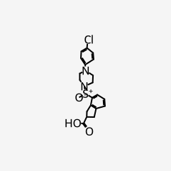 O=C(O)C1Cc2cccc([S+]([O-])N3CCN(c4ccc(Cl)cc4)CC3)c2C1